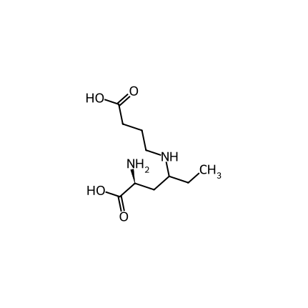 CCC(C[C@H](N)C(=O)O)NCCCC(=O)O